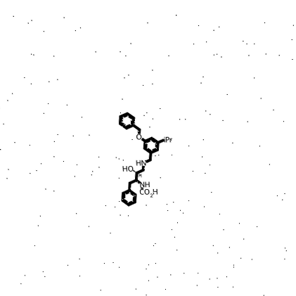 CC(C)c1cc(CNC[C@@H](O)C(Cc2ccccc2)NC(=O)O)cc(OCc2ccccc2)c1